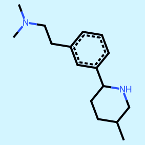 CC1CCC(c2cccc(CCN(C)C)c2)NC1